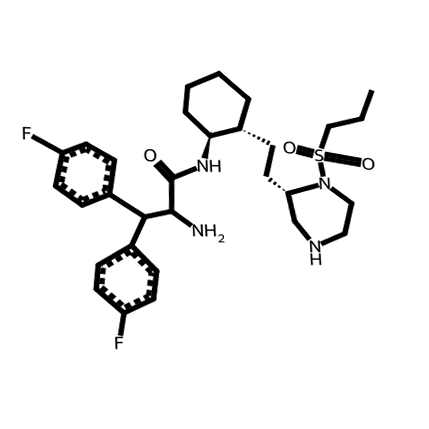 CCCS(=O)(=O)N1CCNC[C@@H]1CC[C@H]1CCCC[C@@H]1NC(=O)C(N)C(c1ccc(F)cc1)c1ccc(F)cc1